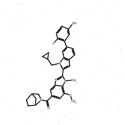 COc1cc(C(=O)N2CC3CCC2C3)cc2nc(-c3cc4ccc(-c5cc(O)ccc5F)cc4n3CC3CC3)n(C)c12